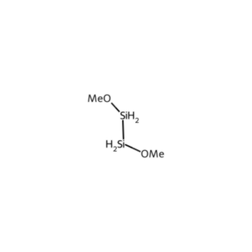 CO[SiH2][SiH2]OC